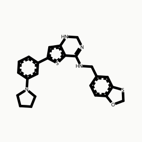 c1cc(-c2cc3c(s2)C(NCc2ccc4c(c2)SCO4)=NCN3)cc(N2CCCC2)c1